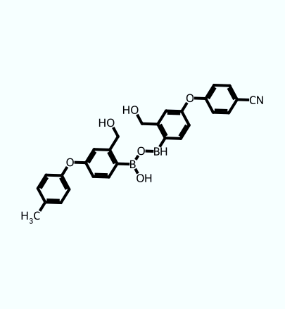 Cc1ccc(Oc2ccc(B(O)OBc3ccc(Oc4ccc(C#N)cc4)cc3CO)c(CO)c2)cc1